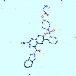 NCC(=O)OC1CCN(S(=O)(=O)c2ccccc2-c2ccc3nc(N)nc(C(=O)N4Cc5ccccc5C4)c3c2)CC1